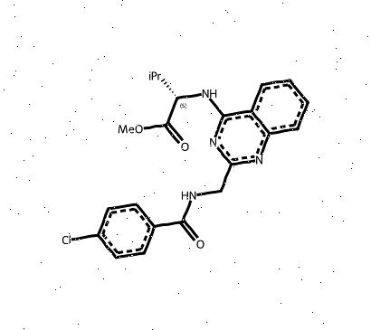 COC(=O)[C@@H](Nc1nc(CNC(=O)c2ccc(Cl)cc2)nc2ccccc12)C(C)C